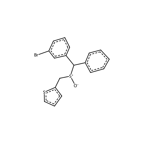 [O-][S+](Cc1cccs1)C(c1ccccc1)c1cccc(Br)c1